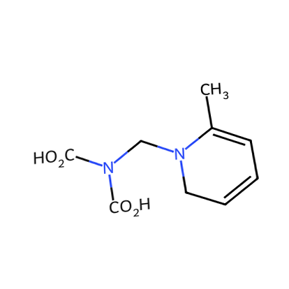 CC1=CC=CCN1CN(C(=O)O)C(=O)O